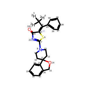 [2H]C([2H])([2H])/C(=C1/SC(N2CCC3(CC2)OCc2ccccc23)=NC1=O)c1ccccc1